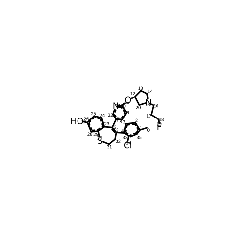 Cc1ccc(C2=C(c3ccc(O[C@H]4CCN(CCCF)C4)nc3)c3ccc(O)cc3SCC2)c(Cl)c1